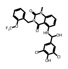 Cn1c(=O)n(Cc2ccccc2OC(F)(F)F)c(=O)c2c(NC(O)c3cc(Cl)c(O)c(Cl)c3)cccc21